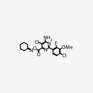 COc1c(Cl)ccc(-c2nc(N)c(Cl)c(C(=O)ON=C3CCCCC3)n2)c1F